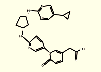 O=C(O)Cc1ccc(=O)n(-c2ccc(N[C@H]3CC[C@H](Nc4ncc(C5CC5)cn4)C3)nc2)c1